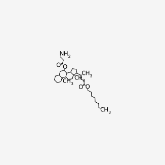 CCCCCCCCOC(=O)CC[C@@H](C)C1CCC2C3C(OC(=O)CCN)CC4CCCCC4(C)C3CCC21C